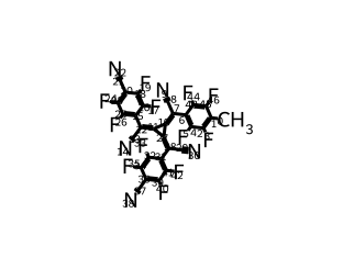 Cc1c(F)c(F)c(/C(C#N)=C2/C(=C(C#N)c3c(F)c(F)c(C#N)c(F)c3F)/C2=C(/C#N)c2c(F)c(F)c(C#N)c(F)c2F)c(F)c1F